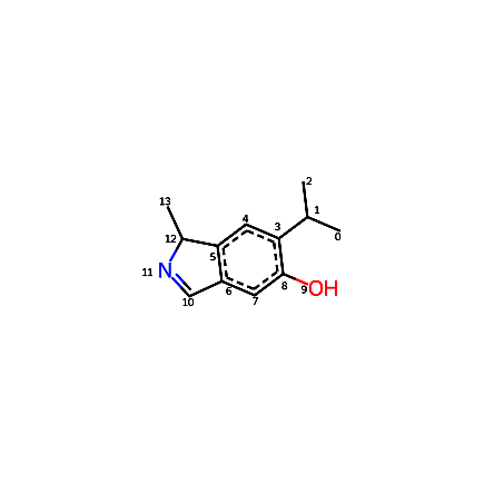 CC(C)c1cc2c(cc1O)C=NC2C